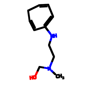 CN(CO)CCNC1=CC=CCC=C1